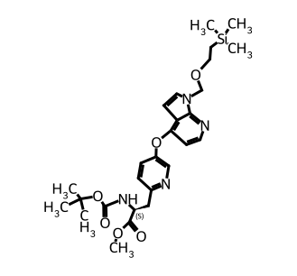 COC(=O)[C@H](Cc1ccc(Oc2ccnc3c2ccn3COCC[Si](C)(C)C)cn1)NC(=O)OC(C)(C)C